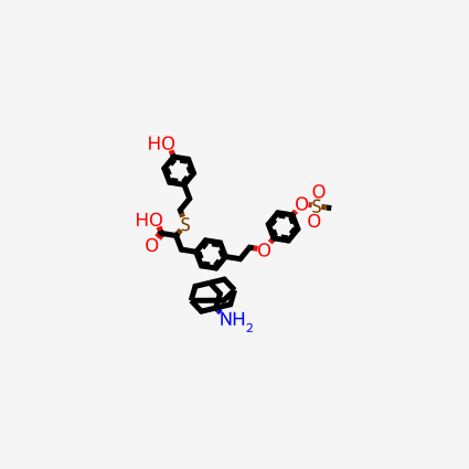 CS(=O)(=O)Oc1ccc(OCCc2ccc(CC(SCCc3ccc(O)cc3)C(=O)O)cc2)cc1.NC12CC3CC(CC(C3)C1)C2